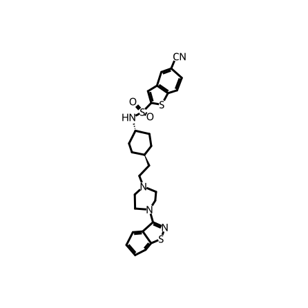 N#Cc1ccc2sc(S(=O)(=O)N[C@H]3CC[C@H](CCN4CCN(c5nsc6ccccc56)CC4)CC3)cc2c1